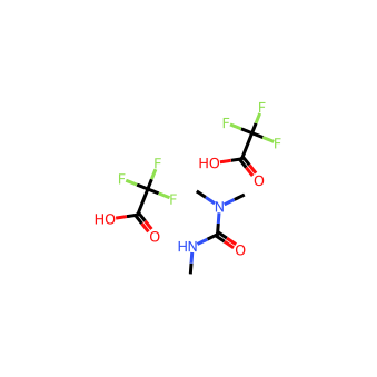 CNC(=O)N(C)C.O=C(O)C(F)(F)F.O=C(O)C(F)(F)F